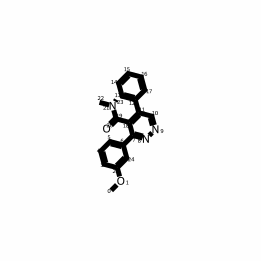 COc1cccc(-c2nncc(-c3ccccc3)c2C(=O)N(C)C)c1